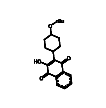 CCCCOC1CCC(C2=C(O)C(=O)c3ccccc3C2=O)CC1